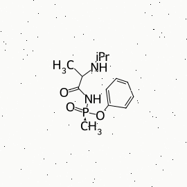 CC(C)NC(C)C(=O)N[P@@](C)(=O)Oc1ccccc1